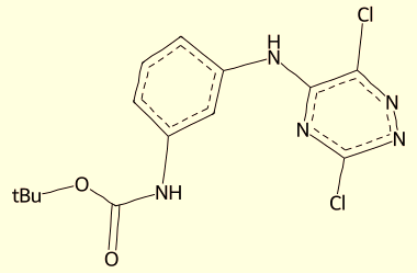 CC(C)(C)OC(=O)Nc1cccc(Nc2nc(Cl)nnc2Cl)c1